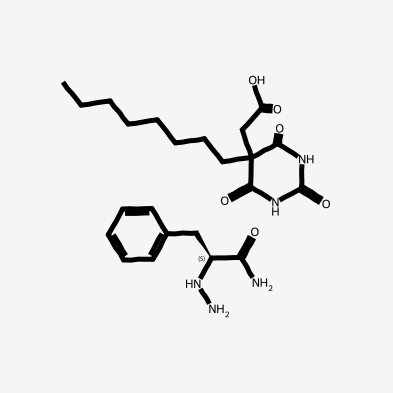 CCCCCCCCC1(CC(=O)O)C(=O)NC(=O)NC1=O.NN[C@@H](Cc1ccccc1)C(N)=O